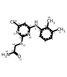 Cc1cccc(Nc2cc(Cl)nc(SCC(N)=O)n2)c1C